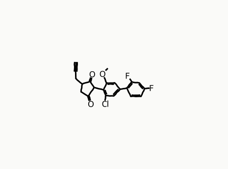 C#CCC1CC(=O)C(c2c(Cl)cc(-c3ccc(F)cc3F)cc2OC)C1=O